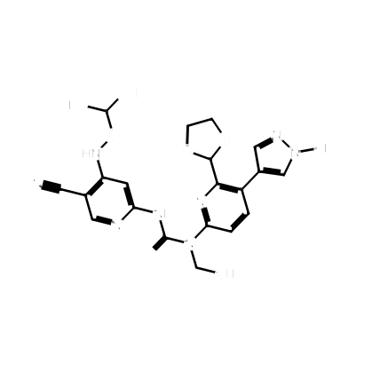 CCN(C(=O)Nc1cc(NOC(C)C)c(C#N)cn1)c1ccc(-c2cnn(C)c2)c(C2OCCO2)n1